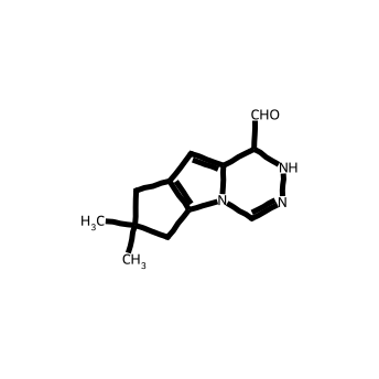 CC1(C)Cc2cc3n(c2C1)C=NNC3C=O